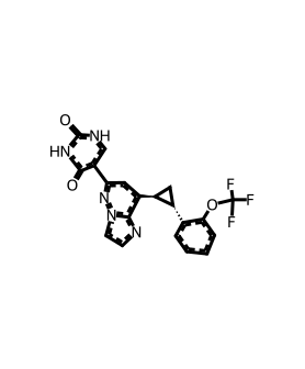 O=c1[nH]cc(-c2cc([C@H]3C[C@@H]3c3ccccc3OC(F)(F)F)c3nccn3n2)c(=O)[nH]1